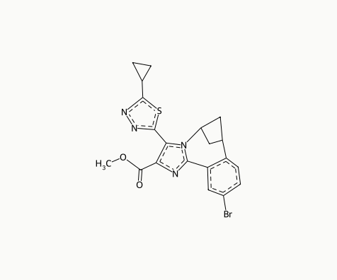 COC(=O)c1nc2n(c1-c1nnc(C3CC3)s1)C1CC(C1)c1ccc(Br)cc1-2